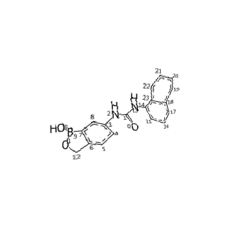 O=C(Nc1ccc2c(c1)B(O)OC2)Nc1cccc2ccccc12